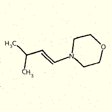 CC(C)C=CN1CCOCC1